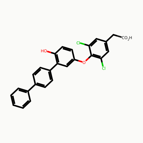 O=C(O)Cc1cc(Cl)c(Oc2ccc(O)c(-c3ccc(-c4ccccc4)cc3)c2)c(Cl)c1